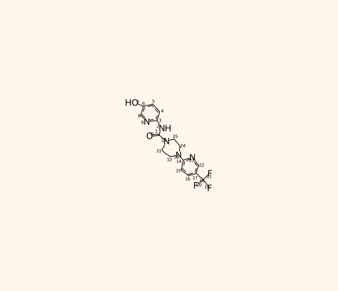 O=C(Nc1ccc(O)cn1)N1CCN(c2ccc(C(F)(F)F)cn2)CC1